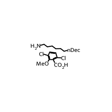 CCCCCCCCCCCCCCCCN.COc1c(Cl)ccc(Cl)c1C(=O)O